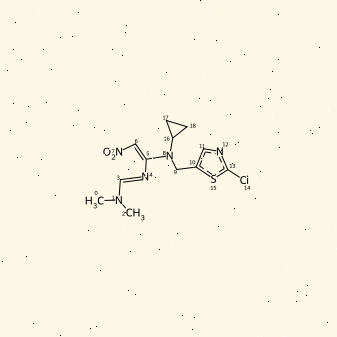 CN(C)/C=N/C(=C\[N+](=O)[O-])N(Cc1cnc(Cl)s1)C1CC1